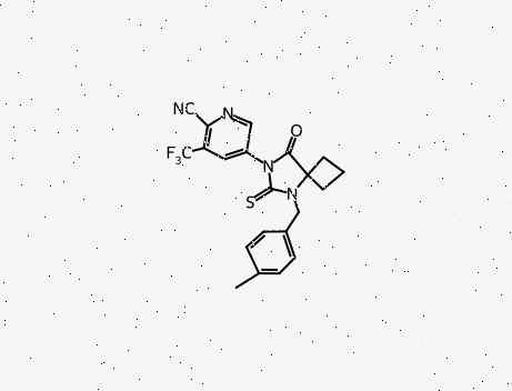 Cc1ccc(CN2C(=S)N(c3cnc(C#N)c(C(F)(F)F)c3)C(=O)C23CCC3)cc1